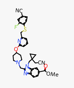 COC(=O)c1ccc2nc(CN3CCC(Oc4cccc(CSc5ccc(C#N)cc5F)n4)CC3)n(CC3(CC#N)CC3)c2c1